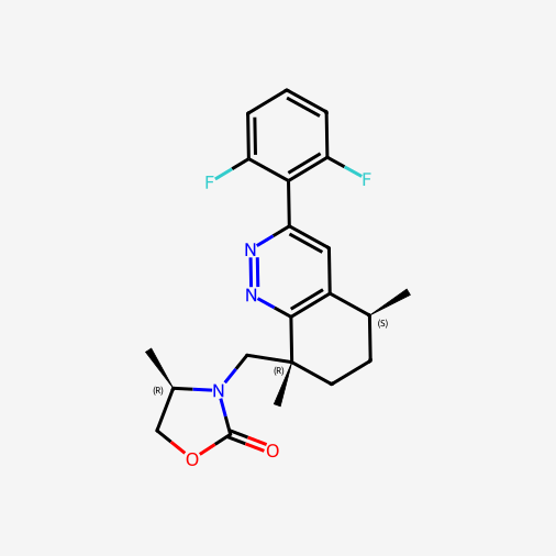 C[C@@H]1COC(=O)N1C[C@@]1(C)CC[C@H](C)c2cc(-c3c(F)cccc3F)nnc21